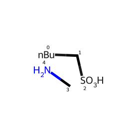 CCCCCS(=O)(=O)O.CN